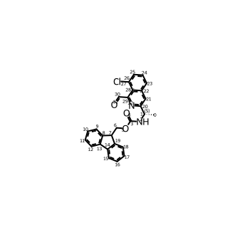 C[C@H](NC(=O)OCC1c2ccccc2-c2ccccc21)c1cc2cccc(Cl)c2c(C=O)n1